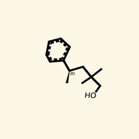 C[C@H](CC(C)(C)CO)c1ccccc1